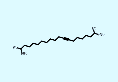 [CH2]CCCC(CC)CCCCCC#CCCCCCCCCCC(CC)CCC[CH2]